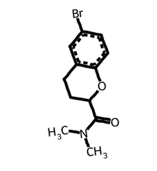 CN(C)C(=O)C1CCc2cc(Br)ccc2O1